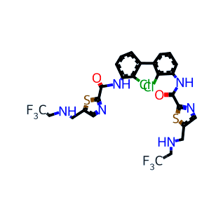 O=C(Nc1cccc(-c2cccc(NC(=O)c3ncc(CNCC(F)(F)F)s3)c2Cl)c1Cl)c1ncc(CNCC(F)(F)F)s1